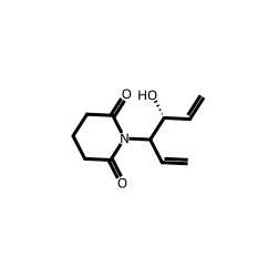 C=CC([C@H](O)C=C)N1C(=O)CCCC1=O